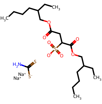 CCCCC(CC)COC(=O)CC(C(=O)OCC(CC)CCCC)S(=O)(=O)[O-].NC(=S)[S-].[Na+].[Na+]